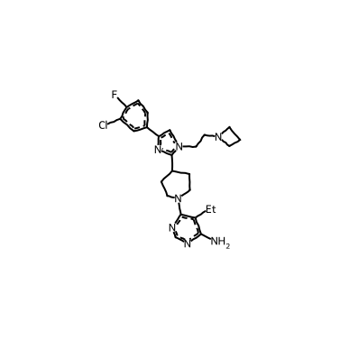 CCc1c(N)ncnc1N1CCC(c2nc(-c3ccc(F)c(Cl)c3)cn2CCN2CCC2)CC1